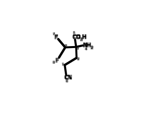 N#CCCC(N)(C(=O)O)C(F)F